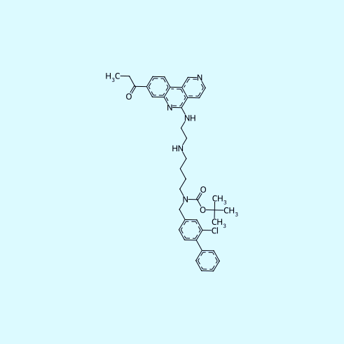 CCC(=O)c1ccc2c(c1)nc(NCCNCCCCN(Cc1ccc(-c3ccccc3)c(Cl)c1)C(=O)OC(C)(C)C)c1ccncc12